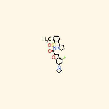 Cc1cccc(C2CCCC2)c1[S+]([O-])NC(=O)c1cc2c(F)cc(N3CCC3)cc2o1